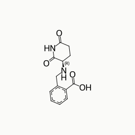 O=C1CC[C@@H](NCc2ccccc2C(=O)O)C(=O)N1